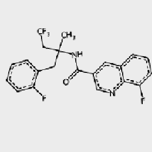 CC(Cc1ccccc1F)(CC(F)(F)F)NC(=O)c1cnc2c(F)cccc2c1